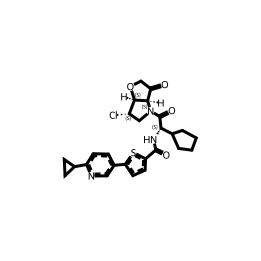 O=C(N[C@H](C(=O)N1C[C@H](Cl)[C@H]2OCC(=O)[C@H]21)C1CCCC1)c1ccc(-c2ccc(C3CC3)nc2)s1